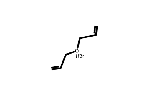 Br.C=CCOCC=C